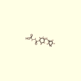 O=C(O)CCC(=O)c1ccc(Cn2ccnc2)cc1